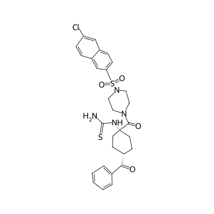 NC(=S)N[C@]1(C(=O)N2CCN(S(=O)(=O)c3ccc4cc(Cl)ccc4c3)CC2)CC[C@H](C(=O)c2ccccc2)CC1